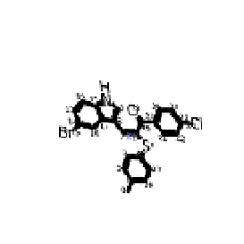 Cc1ccc(S/C(=C/c2c[nH]c3ccc(Br)cc23)C(=O)c2ccc(Cl)cc2)cc1